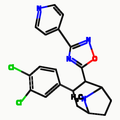 CN1C2CCC1C(c1nc(-c3ccncc3)no1)C(c1ccc(Cl)c(Cl)c1)C2